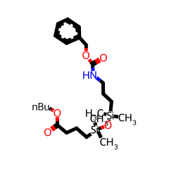 CCCCOC(=O)CCC[Si](C)(C)O[Si](C)(C)CCCNC(=O)OCc1ccccc1